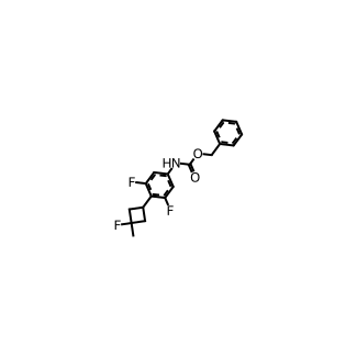 CC1(F)CC(c2c(F)cc(NC(=O)OCc3ccccc3)cc2F)C1